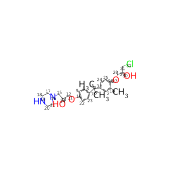 Cc1cc(C(C)(C)c2ccc(OC[C@H](O)CN3CCNCC3)cc2)ccc1OC[C@@H](O)CCl